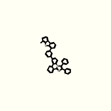 Cc1cccc2c1sc1c(-c3cccc(-c4ccc5c(c4)c4ccccc4c4nc(-c6ccccc6)c(-c6ccccc6)n54)c3)cccc12